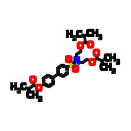 C=C(C)C(=O)OCCN(CCOC(=O)C(=C)C)S(=O)(=O)c1ccc(-c2ccc(OC(=O)C(=C)C)cc2)cc1